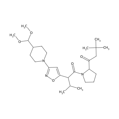 COC(OC)C1CCN(c2cc(C(C(=O)N3CCCC3C(=O)CC(C)(C)C)C(C)C)on2)CC1